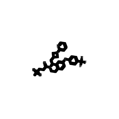 CS(=O)(=O)CCC(=O)N1CCc2ccc(Oc3ccc(C(F)(F)F)cc3)cc2C1CC1CN(c2ccccn2)C1